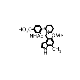 COc1cc(C)c2[nH]ccc2c1CN1CCCC[C@@H]1c1ccc(C(=O)O)cc1NC(C)=O